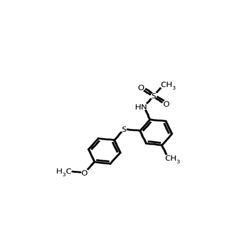 COc1ccc(Sc2cc(C)ccc2NS(C)(=O)=O)cc1